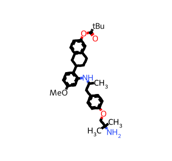 COc1ccc(C2CCc3cc(OC(=O)C(C)(C)C)ccc3C2)c(NC(C)Cc2ccc(OCC(C)(C)N)cc2)c1